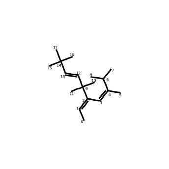 C/[C]=C(\C=C(C)C(C)C)C(C)(C)C=CC(C)(C)C